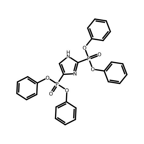 O=P(Oc1ccccc1)(Oc1ccccc1)c1c[nH]c(P(=O)(Oc2ccccc2)Oc2ccccc2)n1